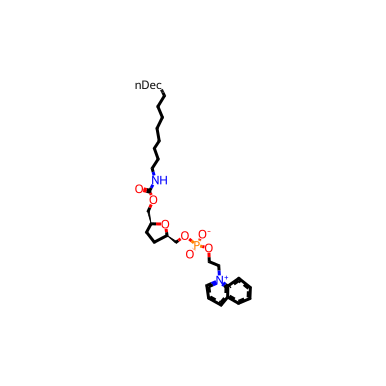 CCCCCCCCCCCCCCCCCCNC(=O)OC[C@@H]1CC[C@H](COP(=O)([O-])OCC[n+]2cccc3ccccc32)O1